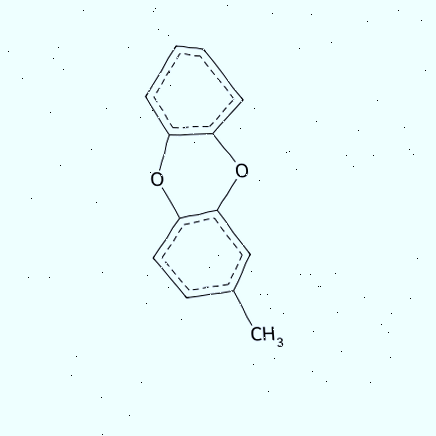 Cc1ccc2c(c1)Oc1ccccc1O2